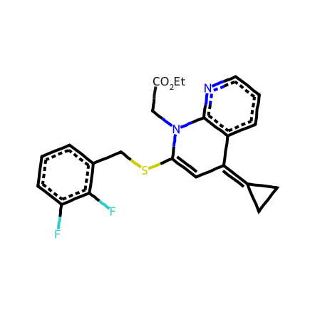 CCOC(=O)CN1C(SCc2cccc(F)c2F)=CC(=C2CC2)c2cccnc21